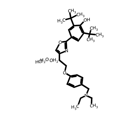 CCN(CC)Cc1ccc(OCCc2coc(-c3cc(C(C)(C)C)c(O)c(C(C)(C)C)c3)n2)cc1.Cl.O.O